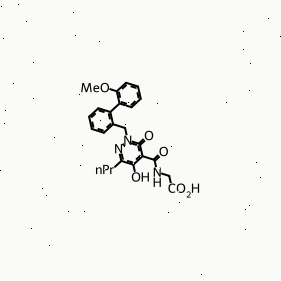 CCCc1nn(Cc2ccccc2-c2ccccc2OC)c(=O)c(C(=O)NCC(=O)O)c1O